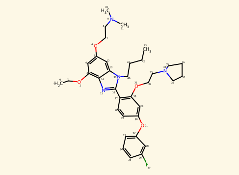 [CH2]COc1cc(OCCN(C)C)cc2c1nc(-c1ccc(Oc3cccc(F)c3)cc1OCCN1CCCC1)n2CCCC